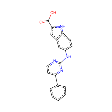 O=C(O)c1cc2cc(Nc3nccc(-c4ccccc4)n3)ccc2[nH]1